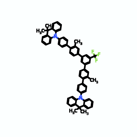 Cc1cc(-c2cc(-c3ccc(-c4ccc(N5c6ccccc6C(C)(C)c6ccccc65)cc4)c(C)c3)cc(C(F)(F)F)c2)ccc1-c1ccc(N2c3ccccc3C(C)(C)c3ccccc32)cc1